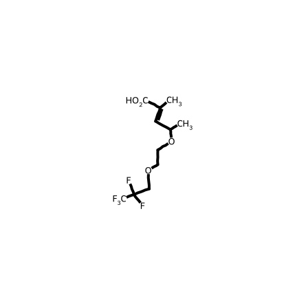 CC(=CC(C)OCCOCC(F)(F)C(F)(F)F)C(=O)O